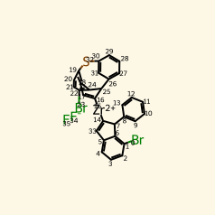 Brc1cccc2c1C(c1ccccc1)[C]([Zr+2][C]1=Cc3c4ccc(Br)c3C1c1cccc(c1)S4)=C2.[F-].[F-]